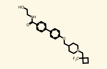 O=C(NCCO)c1ccc(-c2ccc(OCC3CCN(CC4(C(F)(F)F)CCC4)CC3)cc2)cc1